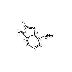 CSc1cccc2[nH]c(C)cc12